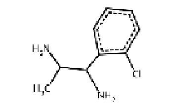 CC(N)C(N)c1ccccc1Cl